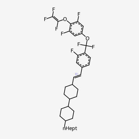 CCCCCCCC1CCC(C2CCC(/C=C/c3ccc(C(F)(F)Oc4cc(F)c(OC(F)=C(F)F)c(F)c4)c(F)c3)CC2)CC1